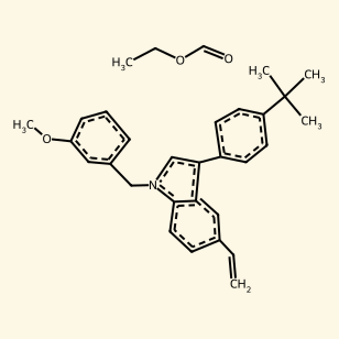 C=Cc1ccc2c(c1)c(-c1ccc(C(C)(C)C)cc1)cn2Cc1cccc(OC)c1.CCOC=O